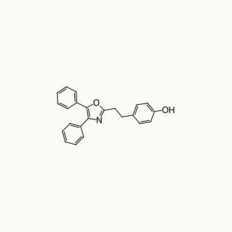 Oc1ccc(CCc2nc(-c3ccccc3)c(-c3ccccc3)o2)cc1